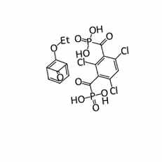 CCOc1c2cccc1C2=O.O=C(c1c(Cl)cc(Cl)c(C(=O)P(=O)(O)O)c1Cl)P(=O)(O)O